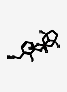 COCc1cccc(O[C@H]2C[C@H]3CC[C@@H](C2)N3C(=O)OC(C)(C)C)c1F